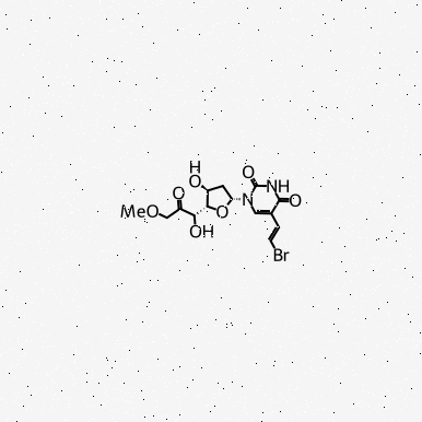 COCC(=O)C(O)[C@H]1O[C@@H](n2cc(C=CBr)c(=O)[nH]c2=O)C[C@@H]1O